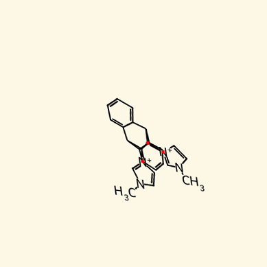 Cn1cc[n+](C2C3c4ccccc4C(c4ccccc43)C2[n+]2ccn(C)c2)c1